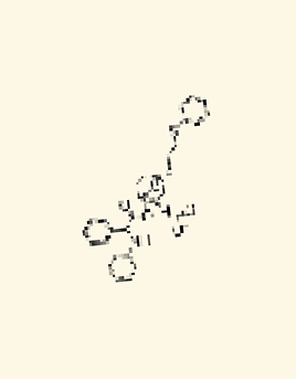 O=C(O[C@H]1C[N+]2(CCCSc3ccccc3)CCC1CC2)C(Nc1ccccc1)c1ccccc1.O=C[O-]